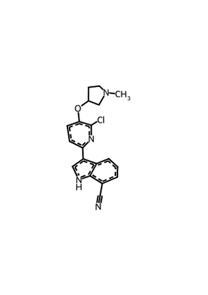 CN1CCC(Oc2ccc(-c3c[nH]c4c(C#N)cccc34)nc2Cl)C1